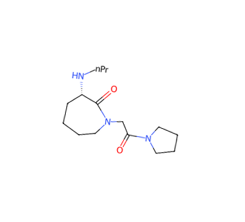 CCCN[C@H]1CCCCN(CC(=O)N2CCCC2)C1=O